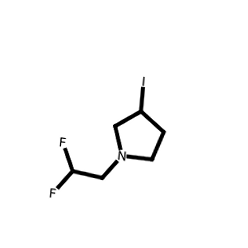 FC(F)CN1CCC(I)C1